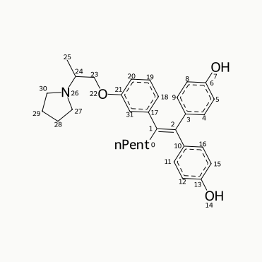 CCCCCC(=C(c1ccc(O)cc1)c1ccc(O)cc1)c1cccc(OCC(C)N2CCCC2)c1